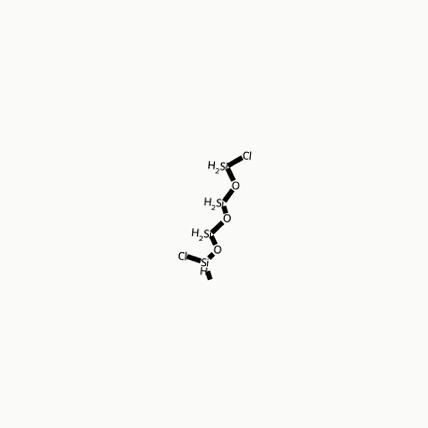 C[SiH](Cl)O[SiH2]O[SiH2]O[SiH2]Cl